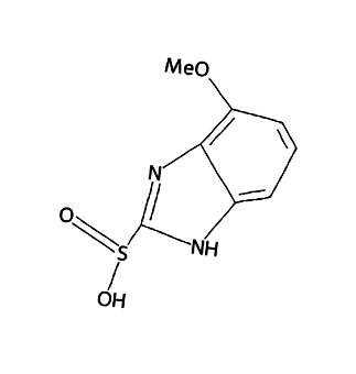 COc1cccc2[nH]c(S(=O)O)nc12